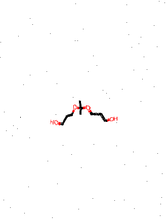 CC(C)(OCCCO)OCCCO